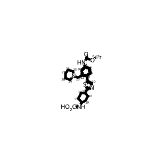 CC(C)OC(=O)Nc1ccc(-c2cnc(C3CCC(NC(=O)O)CC3)s2)c(CN2CCCCC2)c1